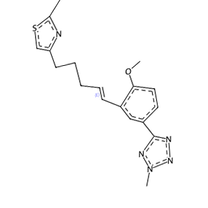 COc1ccc(-c2nnn(C)n2)cc1/C=C/CCCc1csc(C)n1